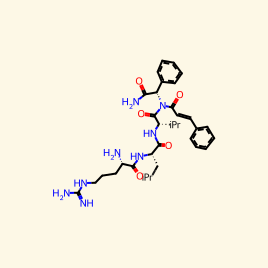 CC(C)C[C@H](NC(=O)[C@@H](N)CCCNC(=N)N)C(=O)N[C@H](C(=O)N(C(=O)/C=C/c1ccccc1)[C@H](C(N)=O)c1ccccc1)C(C)C